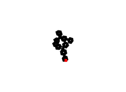 C1=CC(c2ccc(N(c3ccccc3)c3ccc4ccc5ccc(N(C6=CCCC=C6)c6ccc(-c7ccccc7)cc6)cc5c4c3)cc2)=CCC1